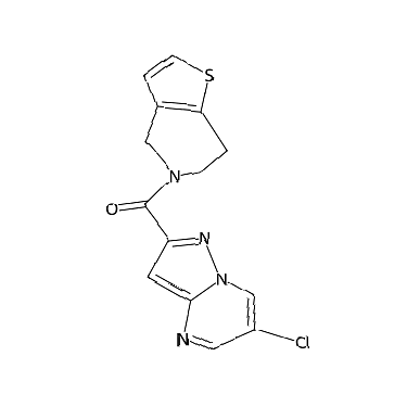 O=C(c1cc2ncc(Cl)cn2n1)N1CCc2sccc2C1